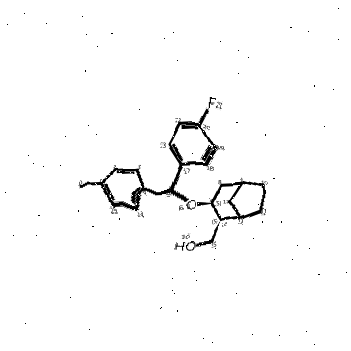 Cc1ccc(C(O[C@H]2CC3CCC(C3)[C@H]2CO)c2ccc(F)cc2)cc1